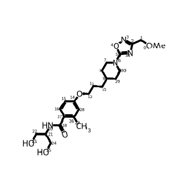 COCc1noc(N2CCC(CCCOc3ccc(C(=O)NC(CO)CO)c(C)c3)CC2)n1